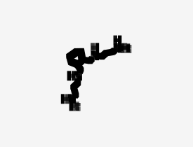 CCNCCCNCc1ccccc1CNCCCNCC